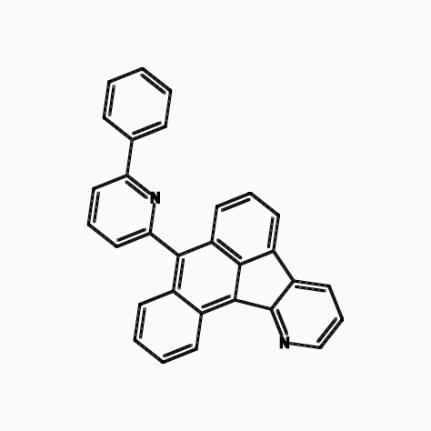 c1ccc(-c2cccc(-c3c4ccccc4c4c5c(cccc35)-c3cccnc3-4)n2)cc1